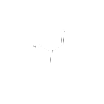 [CH2]N(N)C=O